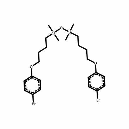 C[Si](C)(CCCCOc1ccc(Br)cc1)O[Si](C)(C)CCCCOc1ccc(Br)cc1